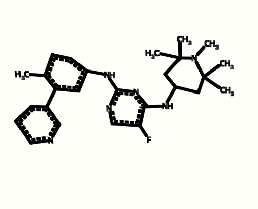 Cc1ccc(Nc2ncc(F)c(NC3CC(C)(C)N(C)C(C)(C)C3)n2)cc1-c1cccnc1